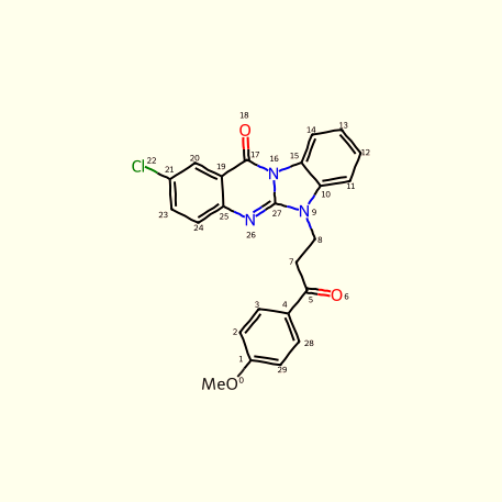 COc1ccc(C(=O)CCn2c3ccccc3n3c(=O)c4cc(Cl)ccc4nc23)cc1